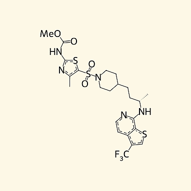 COC(=O)Nc1nc(C)c(S(=O)(=O)N2CCC(CC[C@H](C)Nc3nccc4c(C(F)(F)F)csc34)CC2)s1